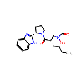 CCCC[C@@H](CN(O)C=O)C(=O)N1CCC[C@H]1c1nc2ccccc2[nH]1